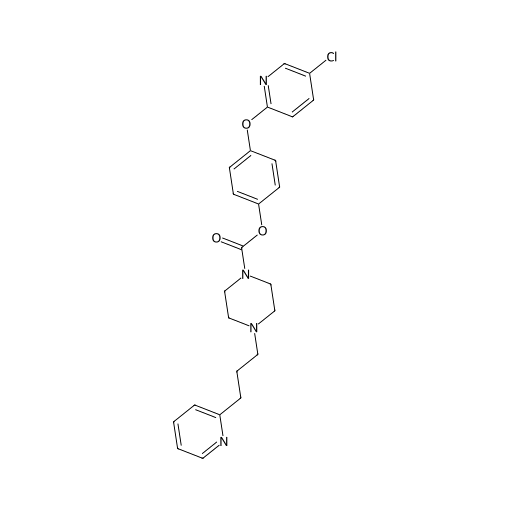 O=C(Oc1ccc(Oc2ccc(Cl)cn2)cc1)N1CCN(CCCc2ccccn2)CC1